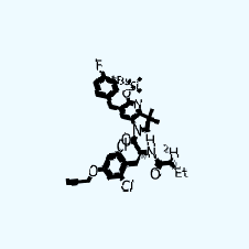 [2H][C@@H](CC)C(=O)N[C@@H](Cc1c(Cl)cc(OCC#C)cc1Cl)C(=O)N1CC(C)(C)c2nc(O[Si](C)(C)C(C)(C)C)c(Cc3ccc(F)cc3)cc21